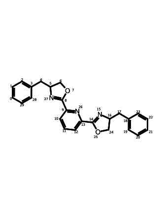 c1ccc(CC2COC(c3cccc(C4=NC(Cc5ccccc5)CO4)n3)=N2)cc1